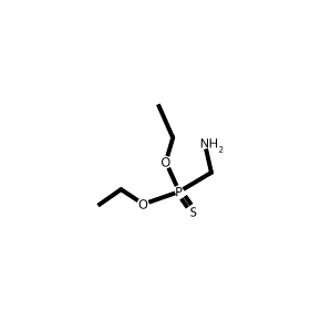 CCOP(=S)(CN)OCC